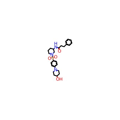 O=C(CCc1ccccc1)NC1CCCN(S(=O)(=O)c2ccc(N3CCC(O)CC3)cc2)C1